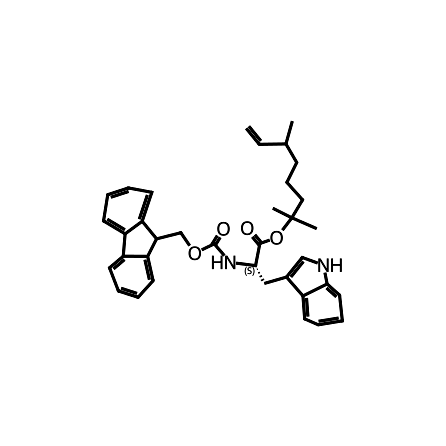 C=CC(C)CCCC(C)(C)OC(=O)[C@H](Cc1c[nH]c2ccccc12)NC(=O)OCC1c2ccccc2-c2ccccc21